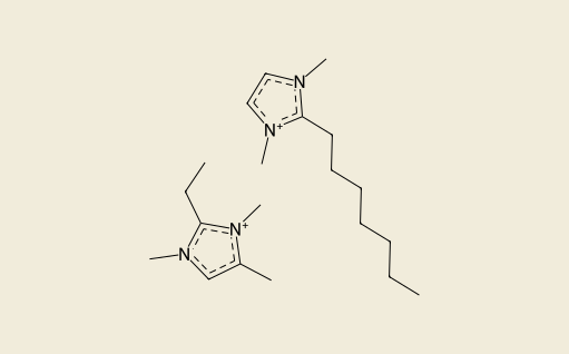 CCCCCCCc1n(C)cc[n+]1C.CCc1n(C)cc(C)[n+]1C